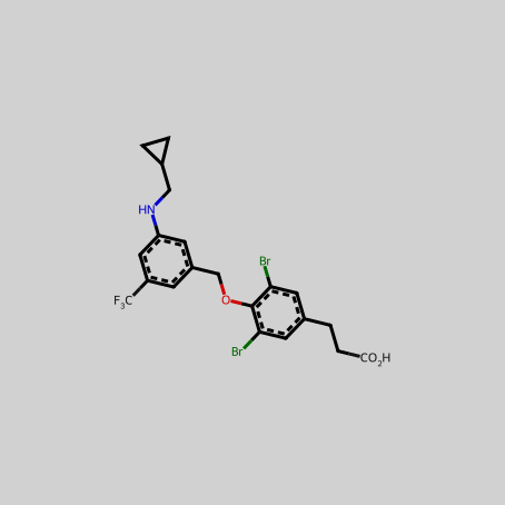 O=C(O)CCc1cc(Br)c(OCc2cc(NCC3CC3)cc(C(F)(F)F)c2)c(Br)c1